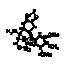 COc1cc([C@@H]2c3cc4c(cc3C(C)C3COC(=O)[C@@H]32)OCO4)cc(OC)c1C